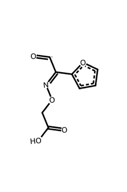 O=[C]/C(=N/OCC(=O)O)c1ccco1